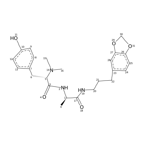 C[C@@H](NC(=O)[C@H](Cc1ccc(O)cc1)N(C)C)C(=O)NCCCc1ccc2c(c1)OCO2